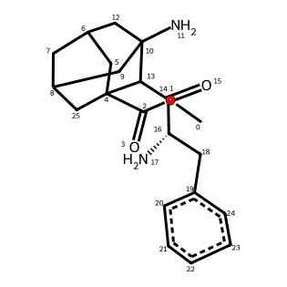 COC(=O)C12CC3CC(CC(N)(C3)C1C(=O)[C@@H](N)Cc1ccccc1)C2